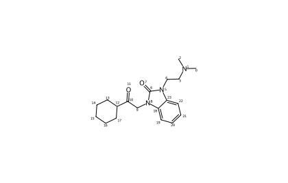 CN(C)CCn1c(=O)n(CC(=O)C2CCCCC2)c2ccccc21